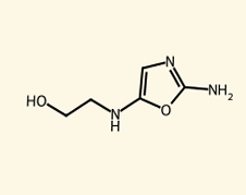 Nc1ncc(NCCO)o1